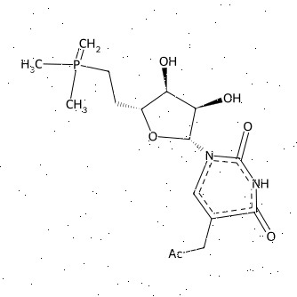 C=P(C)(C)CC[C@H]1O[C@@H](n2cc(CC(C)=O)c(=O)[nH]c2=O)[C@H](O)[C@@H]1O